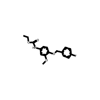 CCOC(=O)Nc1ccc(OCc2ccc(F)cc2)c(OC)c1